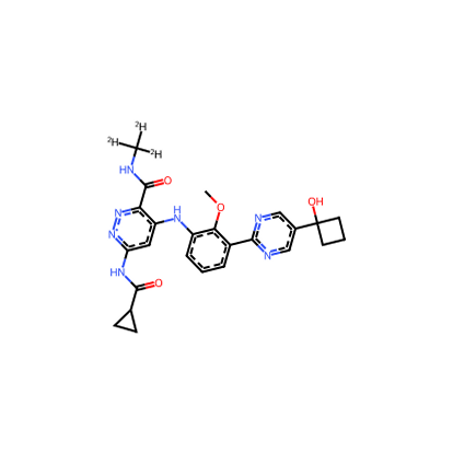 [2H]C([2H])([2H])NC(=O)c1nnc(NC(=O)C2CC2)cc1Nc1cccc(-c2ncc(C3(O)CCC3)cn2)c1OC